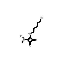 CCN(C)c1c(NCCCCCC(C)C)c(=S)c1=S